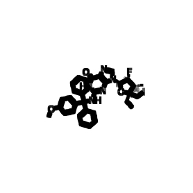 CC[C@@]1(CI)O[C@@H](n2cnc3c(=O)[nH]c(NC(c4ccccc4)(c4ccccc4)c4ccc(OC)cc4)nc32)[C@H](F)[C@@H]1C